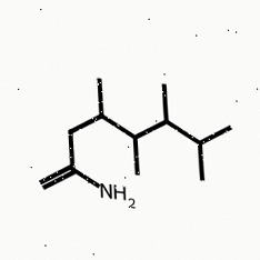 C=C(N)CC(C)C(C)C(C)C(C)C